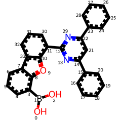 OB(O)c1cccc2c1oc1c(-c3nc(-c4ccccc4)cc(-c4ccccc4)n3)cccc12